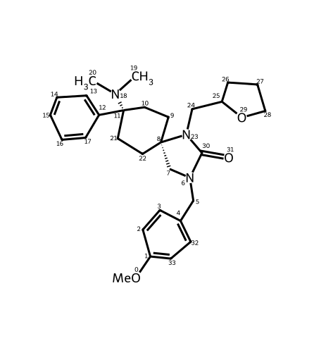 COc1ccc(CN2C[C@]3(CC[C@@](c4ccccc4)(N(C)C)CC3)N(CC3CCCO3)C2=O)cc1